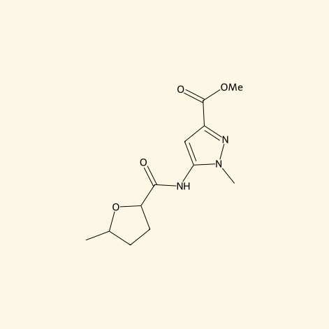 COC(=O)c1cc(NC(=O)C2CCC(C)O2)n(C)n1